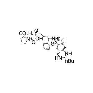 CCCCC1NSc2cc(S(=O)(=O)NC(CCCP(=O)(O)CC(=O)N3CCCC3C(=O)O)c3ccccc3)c(Cl)cc2N1